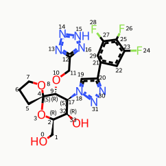 OC[C@H]1O[C@@]2(CCCO2)[C@H](OCc2nn[nH]n2)[C@@H](n2cc(-c3cc(F)c(F)c(F)c3)nn2)[C@H]1O